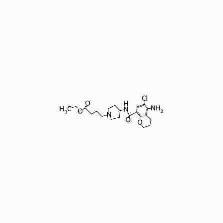 CCOC(=O)CCCN1CCC(NC(=O)c2cc(Cl)c(N)c3c2OCCC3)CC1